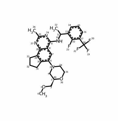 COC[C@H]1CN(c2cc3c(NC(C)c4cccc(C(F)(F)F)c4F)nc(C)nc3c3c2CCC3)CCO1